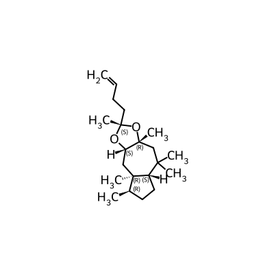 C=CCC[C@@]1(C)O[C@H]2C[C@]3(C)[C@H](C)CC[C@H]3C(C)(C)C[C@@]2(C)O1